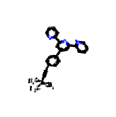 C[Si](C)(C)C#Cc1ccc(-c2cc(-c3ccccn3)nc(-c3ccccn3)c2)cc1